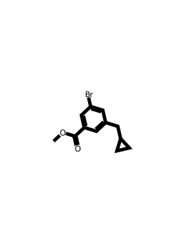 COC(=O)c1cc(Br)cc(CC2CC2)c1